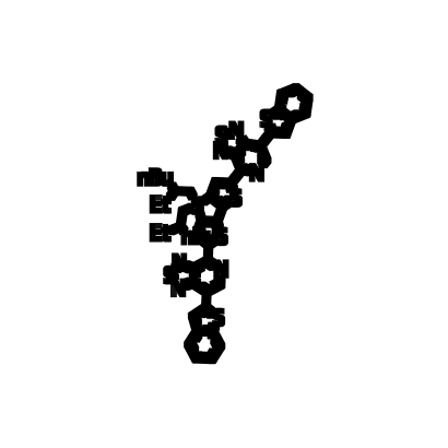 CCCCC(CC)CS1(CC(CC)CCCC)c2cc(-c3ncc(-c4cc5ccccc5s4)c4nsnc34)sc2-c2sc(-c3ncc(-c4cc5ccccc5s4)c4nsnc34)cc21